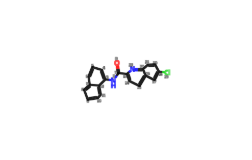 O=C(Nc1cccc2ccccc12)c1ccc2cc(Cl)ccc2n1